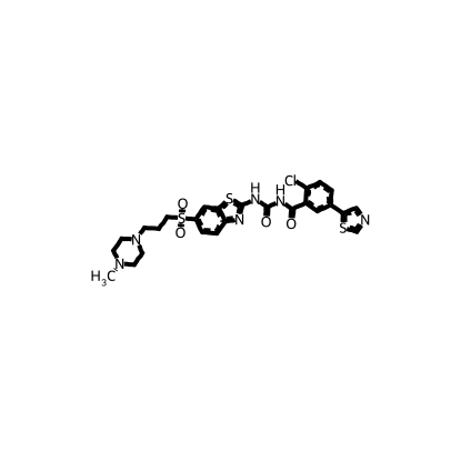 CN1CCN(CCCS(=O)(=O)c2ccc3nc(NC(=O)NC(=O)c4cc(-c5cncs5)ccc4Cl)sc3c2)CC1